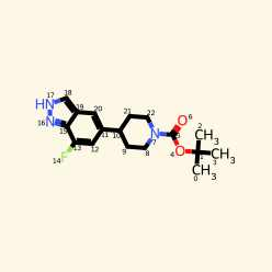 CC(C)(C)OC(=O)N1CCC(c2cc(F)c3n[nH]cc3c2)CC1